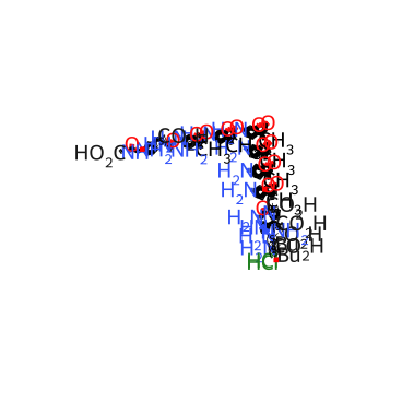 CC[C@H](C)[C@H](N)C(=O)O.CC[C@H](C)[C@H](N)C(=O)O.Cc1cc(=O)oc2cc(N)ccc12.Cc1cc(=O)oc2cc(N)ccc12.Cc1cc(=O)oc2cc(N)ccc12.Cc1cc(=O)oc2cc(N)ccc12.Cc1cc(=O)oc2cc(N)ccc12.Cc1cc(=O)oc2cc(N)ccc12.Cl.Cl.NCC(=O)N1CCC[C@H]1C(=O)O.NCC(=O)NCC(=O)O.NCC(=O)N[C@@H](Cc1ccccc1)C(=O)O.N[C@@H](Cc1c[nH]cn1)C(=O)O